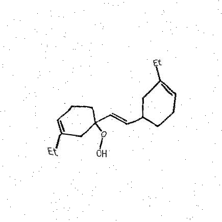 CCC1=CCCC(C=CC2(OO)CCC=C(CC)C2)C1